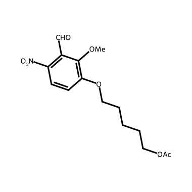 COc1c(OCCCCCOC(C)=O)ccc([N+](=O)[O-])c1C=O